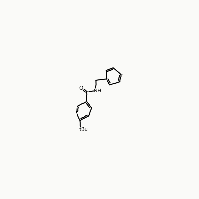 CC(C)(C)c1ccc(C(=O)NCc2cc[c]cc2)cc1